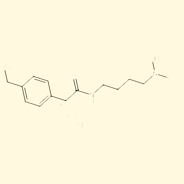 CC(C)Cc1ccc([C@@H](C)C(=O)NCCCCN(C)C)cc1.Cl